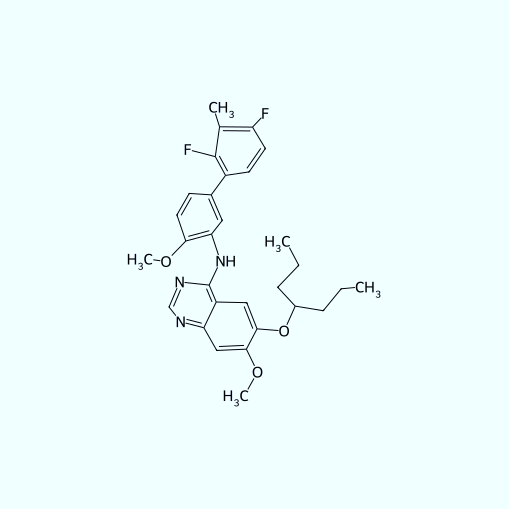 CCCC(CCC)Oc1cc2c(Nc3cc(-c4ccc(F)c(C)c4F)ccc3OC)ncnc2cc1OC